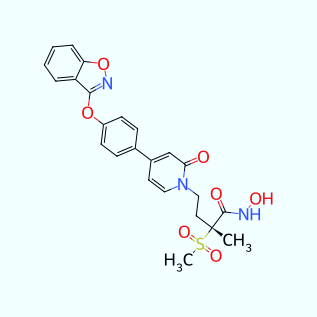 C[C@@](CCn1ccc(-c2ccc(Oc3noc4ccccc34)cc2)cc1=O)(C(=O)NO)S(C)(=O)=O